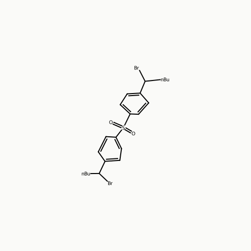 CCCCC(Br)c1ccc(S(=O)(=O)c2ccc(C(Br)CCCC)cc2)cc1